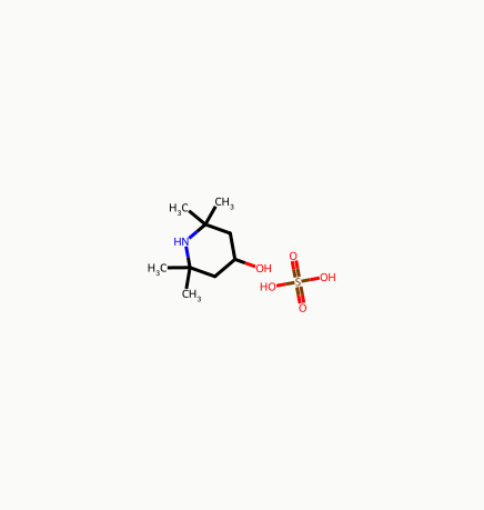 CC1(C)CC(O)CC(C)(C)N1.O=S(=O)(O)O